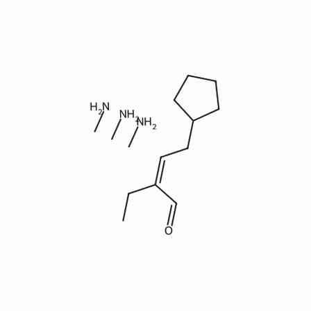 CCC(C=O)=CCC1CCCC1.CN.CN.CN